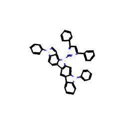 c1ccc(-c2cc(-c3ccccc3)nc(-n3c4cc5c(cc4c4ccc6c(ccn6-c6ccccc6)c43)c3ccccc3n5-c3ccccc3)n2)cc1